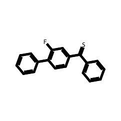 Fc1cc(C(=S)c2ccccc2)ccc1-c1ccccc1